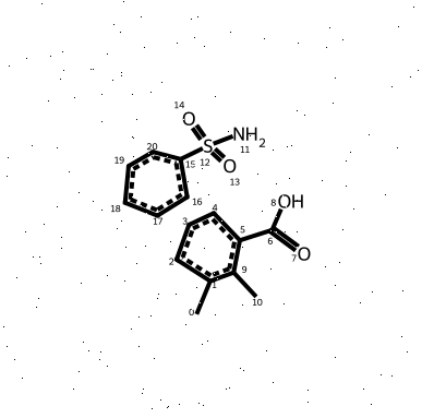 Cc1cccc(C(=O)O)c1C.NS(=O)(=O)c1ccccc1